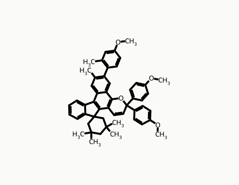 COc1ccc(C2(c3ccc(OC)cc3)C=Cc3c4c(c5cc(C)c(-c6ccc(OC)cc6C)cc5c3O2)-c2ccccc2C42CC(C)(C)CC(C)(C)C2)cc1